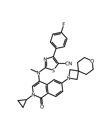 CN(c1nc(-c2ccc(F)cc2)c(C#N)s1)c1cn(C2CC2)c(=O)c2ccc(N3CC4(CCOCC4)C3)cc12